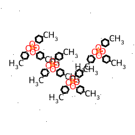 Cc1ccc(OP(=O)(Oc2ccc(C)cc2)Oc2ccc(C)cc2)cc1.Cc1ccc(OP(=O)(Oc2ccc(C)cc2)Oc2ccc(C)cc2)cc1.Cc1ccc(OP(=O)(Oc2ccc(C)cc2)Oc2ccc(C)cc2)cc1.Cc1ccc(OP(=O)(Oc2ccc(C)cc2)Oc2ccc(C)cc2)cc1